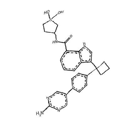 Nc1ncc(-c2ccc(C3(c4c[nH]c5c(C(=O)NC6CCS(O)(O)C6)cccc45)CCC3)cc2)cn1